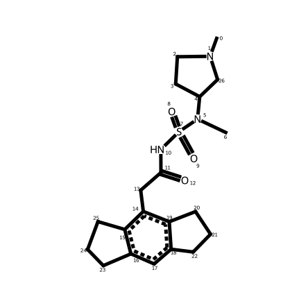 CN1CCC(N(C)S(=O)(=O)NC(=O)Cc2c3c(cc4c2CCC4)CCC3)C1